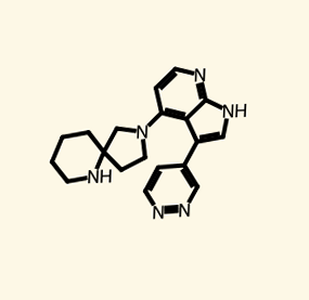 c1cc(-c2c[nH]c3nccc(N4CCC5(CCCCN5)C4)c23)cnn1